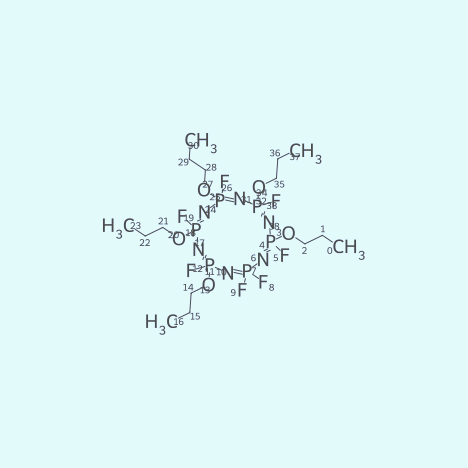 CCCOP1(F)=NP(F)(F)=NP(F)(OCCC)=NP(F)(OCCC)=NP(F)(OCCC)=NP(F)(OCCC)=N1